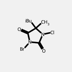 CCC(C)C1(C)C(=O)N(Br)C(=O)N1Cl